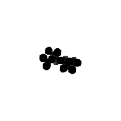 c1ccc(N(c2ccccc2)c2cc3c4c(c2)N(c2ccccc2)c2ccccc2B4c2cc4c(cc2O3)B2c3ccccc3N3c5ccccc5B5c6ccccc6Oc6cc(c2c3c65)O4)cc1